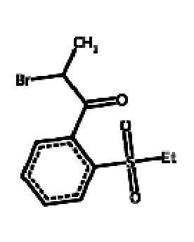 CCS(=O)(=O)c1ccccc1C(=O)C(C)Br